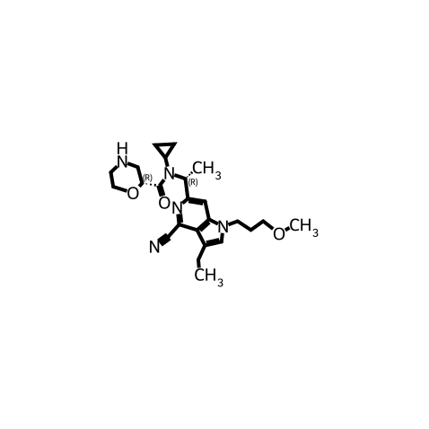 CCc1cn(CCCOC)c2cc([C@@H](C)N(C(=O)[C@H]3CNCCO3)C3CC3)nc(C#N)c12